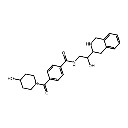 O=C(NCC(O)C1Cc2ccccc2CN1)c1ccc(C(=O)N2CCC(O)CC2)cc1